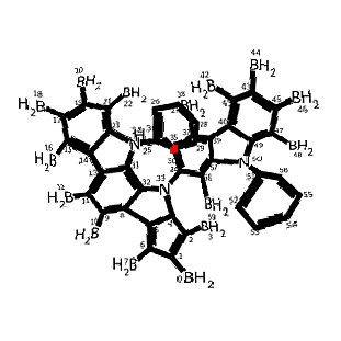 BC1=C(B)C2C(=C1B)c1c(B)c(B)c3c4c(B)c(B)c(B)c(B)c4n(-c4ccccc4)c3c1N2c1c(B)c(B)c2c3c(B)c(B)c(B)c(B)c3n(-c3ccccc3)c2c1B